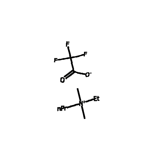 CCC[N+](C)(C)CC.O=C([O-])C(F)(F)F